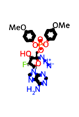 COc1ccc(OP(=O)(OC[C@@]2(N=[N+]=[N-])O[C@@H](n3cnc4c(N)ncnc43)[C@H](F)[C@@H]2O)Oc2ccc(OC)cc2)cc1